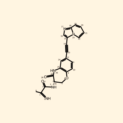 CC(=N)C(=O)N[C@H]1COc2ccc(C#Cc3cnc4ccccn34)cc2NC1=O